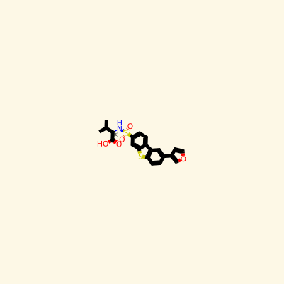 CC(C)[C@H](NS(=O)(=O)c1ccc2c(c1)sc1ccc(-c3ccoc3)cc12)C(=O)O